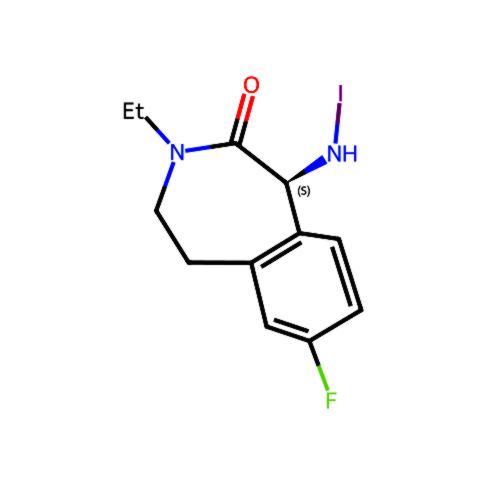 CCN1CCc2cc(F)ccc2[C@H](NI)C1=O